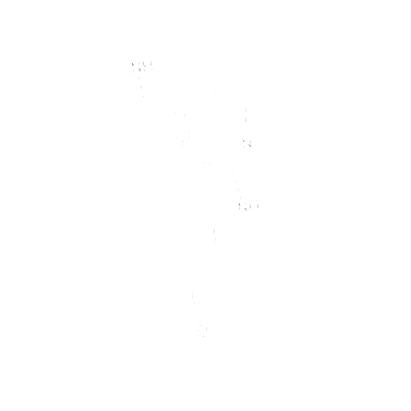 COCCCNc1cc(CN)ccn1